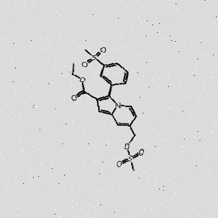 CCOC(=O)c1cc2cc(COS(C)(=O)=O)ccn2c1-c1cccc(S(C)(=O)=O)c1